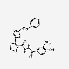 O=C(NNC(=O)c1occc1-c1ccc(CNc2ccccc2)o1)c1ccc(O)c([N+](=O)[O-])c1